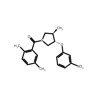 Cc1ccc(C)c(C(=O)N2C[C@@H](C)[C@H](Oc3cccc([N+](=O)[O-])c3)C2)c1